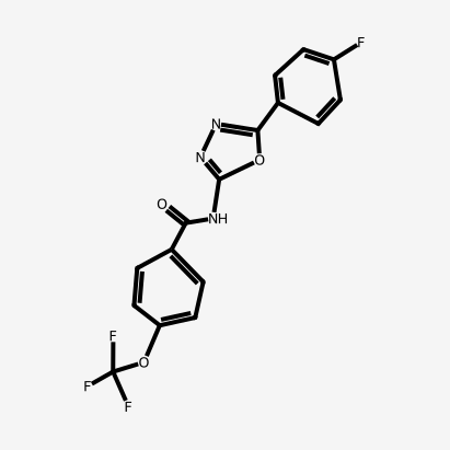 O=C(Nc1nnc(-c2ccc(F)cc2)o1)c1ccc(OC(F)(F)F)cc1